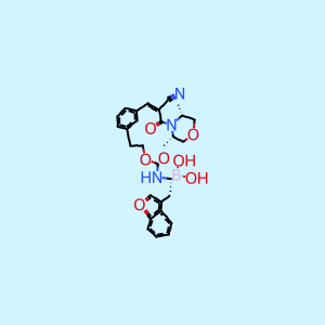 C[C@@H]1COC[C@H](C)N1C(=O)C(C#N)=Cc1cccc(CCOC(=O)N[C@@H](Cc2coc3ccccc23)B(O)O)c1